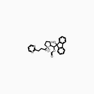 C[N+]1(CCCc2ncccn2)CCCC1C(OC=O)C1(O)c2ccccc2-c2ccccc21